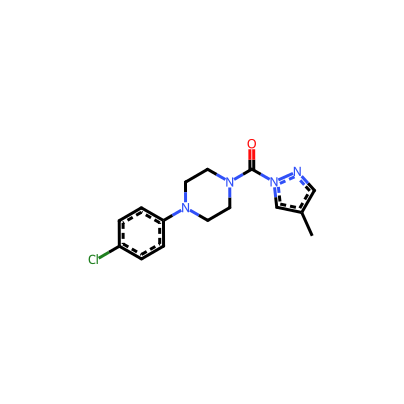 Cc1cnn(C(=O)N2CCN(c3ccc(Cl)cc3)CC2)c1